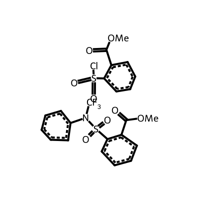 COC(=O)c1ccccc1S(=O)(=O)Cl.COC(=O)c1ccccc1S(=O)(=O)N(c1ccccc1)C(F)(F)F